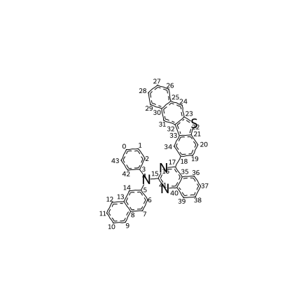 c1ccc(N(c2ccc3ccccc3c2)c2nc(-c3ccc4sc5cc6ccccc6cc5c4c3)c3ccccc3n2)cc1